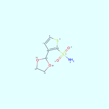 NS(=O)(=O)c1sccc1C1OCCO1